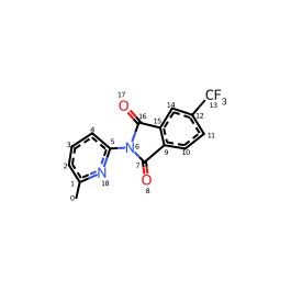 Cc1cccc(N2C(=O)c3ccc(C(F)(F)F)cc3C2=O)n1